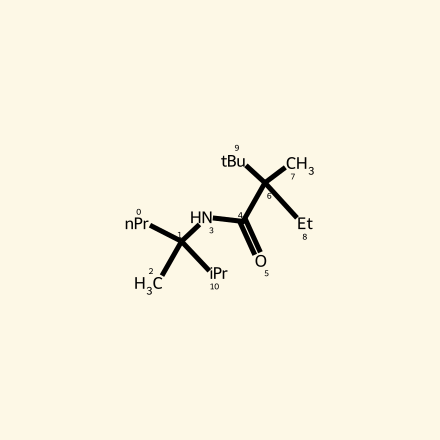 CCCC(C)(NC(=O)C(C)(CC)C(C)(C)C)C(C)C